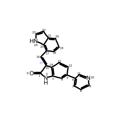 O=C1Nc2cc(-c3cccnc3)ccc2/C1=C\c1cccc2cc[nH]c12